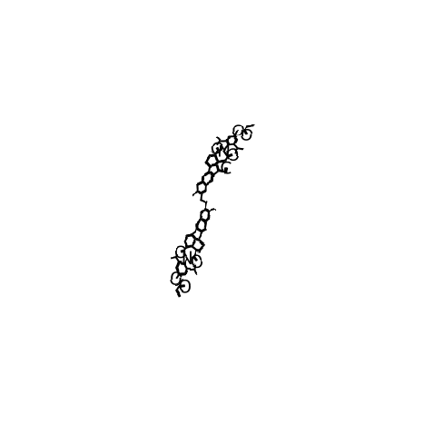 C=CC(=O)Oc1cc(C(C)C)c(N2C(=O)c3ccc4c5c(ccc(c35)C2=O)-c2cc3cc(CCc5cc6cc7c(cc6cc5C)-c5ccc6c8c(ccc-7c58)C(=O)N(c5c(C(C)C)cc(OC(=O)C=C)cc5C(C)C)C6=O)c(C)cc3cc2-4)c(C(C)C)c1